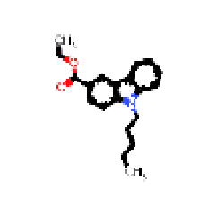 CCCCCn1c2ccccc2c2cc(C(=O)OCC)ccc21